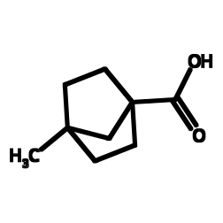 CC12CCC(C(=O)O)(CC1)C2